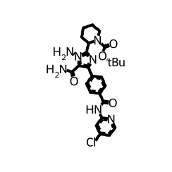 CC(C)(C)OC(=O)N1CCCCC1c1nc(-c2ccc(C(=O)Nc3cc(Cl)ccn3)cc2)c(C(N)=O)n1N